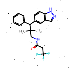 CC(C)(CNC(=O)CC(F)(F)F)C(c1ccccc1)c1ccc2[nH]ncc2c1